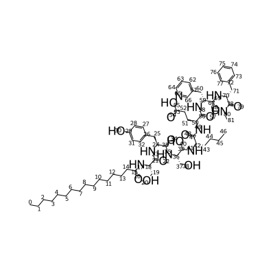 CCCCCCCCCCCCCCCC(=O)N[C@@H](CO)C(=O)N[C@@H](Cc1ccc(O)cc1)C(=O)N[C@@H](CO)C(O)N[C@@H](CCCC)C(=O)N[C@@H](CCC(=O)O)C(=O)N[C@H](Cc1cccnc1)C(=O)N[C@H](Cc1ccccc1)C(=O)NC